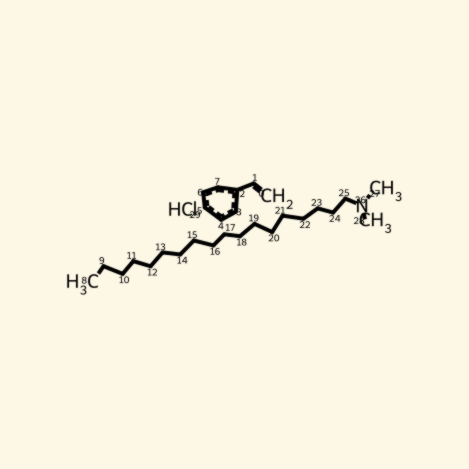 C=Cc1ccccc1.CCCCCCCCCCCCCCCCCCN(C)C.Cl